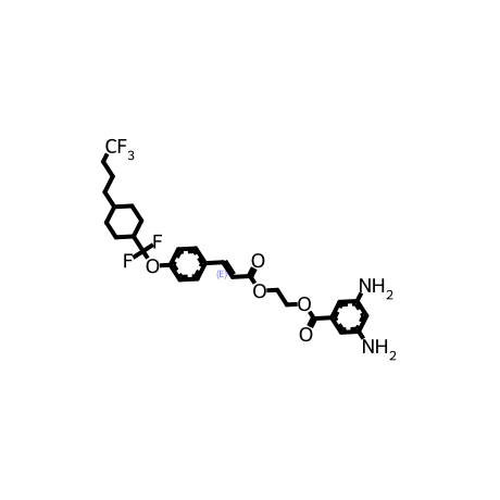 Nc1cc(N)cc(C(=O)OCCOC(=O)/C=C/c2ccc(OC(F)(F)C3CCC(CCCC(F)(F)F)CC3)cc2)c1